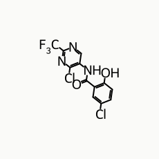 O=C(Nc1cnc(C(F)(F)F)nc1Cl)c1cc(Cl)ccc1O